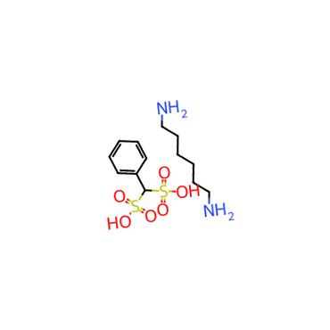 NCCCCCCN.O=S(=O)(O)C(c1ccccc1)S(=O)(=O)O